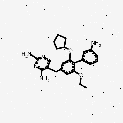 CCOc1cc(Cc2cnc(N)nc2N)cc(OC2CCCC2)c1-c1cccc(N)c1